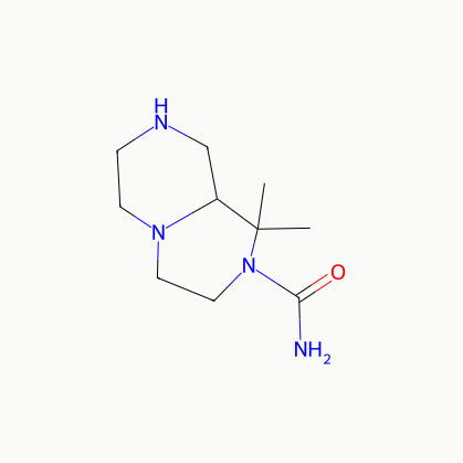 CC1(C)C2CNCCN2CCN1C(N)=O